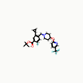 CC(C)(C)OC(=O)c1cc(C2CC2)c(CN2CCC(Oc3ccc(C(F)(F)F)cn3)CC2)cc1F